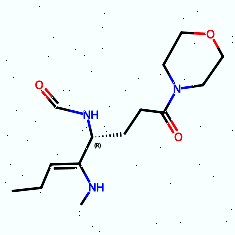 CCC=C(NC)[C@@H](CCC(=O)N1CCOCC1)NC=O